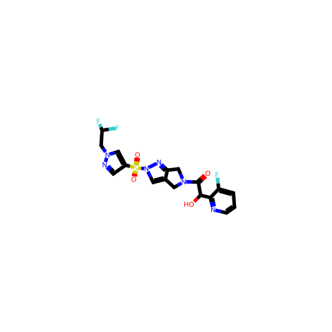 O=C(C(O)c1ncccc1F)N1Cc2cn(S(=O)(=O)c3cnn(CC(F)F)c3)nc2C1